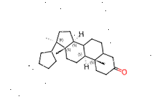 C[C@]12CCC(=O)CC1CCC1[C@@H]2CC[C@@]2(C)[C@H]1CC[C@]2(C)C1CCCC1